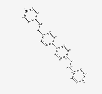 c1cc(NCc2ccc(-c3ccc(CNc4ccncc4)cc3)cc2)ccn1